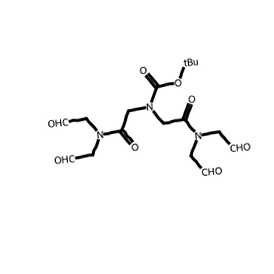 CC(C)(C)OC(=O)N(CC(=O)N(CC=O)CC=O)CC(=O)N(CC=O)CC=O